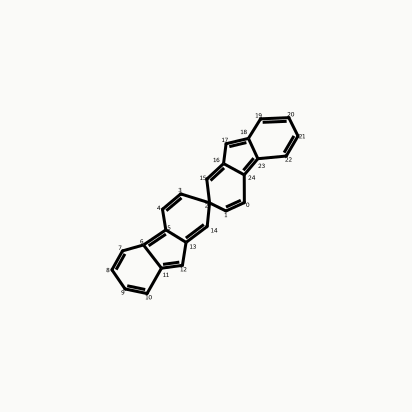 C1=CC2(C=CC3=c4ccccc4=CC3=C2)C=C2C=c3ccccc3=C12